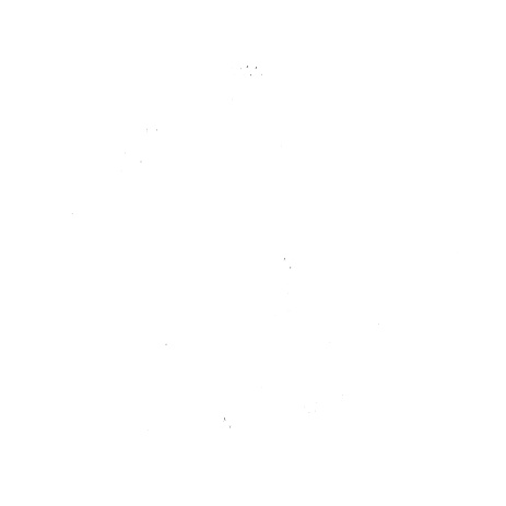 COc1ccc(C(Cc2cc(Cl)nc(Cl)c2)=NOC(=O)c2ccccc2)cc1OC1CCCC1